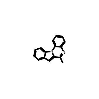 Cc1nc2ccccc2n2c1cc1ccccc12